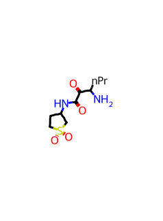 CCCC(N)C(=O)C(=O)NC1CCS(=O)(=O)C1